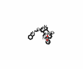 COc1ccc(CN2C3CC2CN(c2cnc(-c4cc(OCCN5CC6CCCCC6C5)cn5ncc(C#N)c45)cn2)C3)cn1